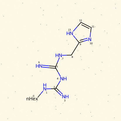 CCCCCCNC(=N)NC(=N)NCc1ncc[nH]1